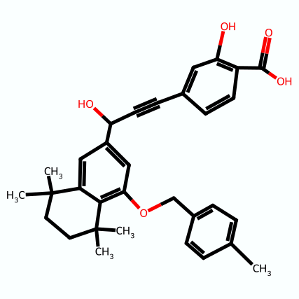 Cc1ccc(COc2cc(C(O)C#Cc3ccc(C(=O)O)c(O)c3)cc3c2C(C)(C)CCC3(C)C)cc1